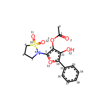 CC(=O)Oc1c(N2CCCS2(=O)=O)oc(-c2ccccc2)c1O